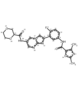 Cc1nc(C)c(C(=O)Nc2ccc(F)c(-c3cn4cc(NC(=O)C5COCCO5)cnc4n3)c2)o1